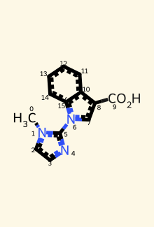 Cn1ccnc1-n1cc(C(=O)O)c2ccccc21